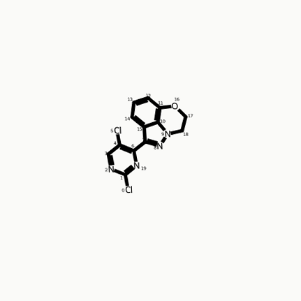 Clc1ncc(Cl)c(-c2nn3c4c(cccc24)OCC3)n1